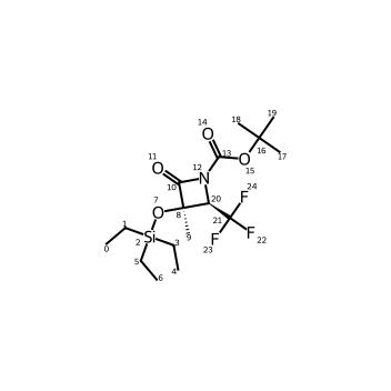 CC[Si](CC)(CC)O[C@@]1(C)C(=O)N(C(=O)OC(C)(C)C)[C@H]1C(F)(F)F